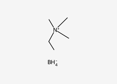 CC[N+](C)(C)C.[BH4-]